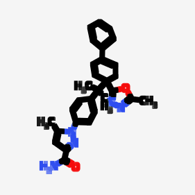 Cc1nnc(C2(C(C)(C)c3ccc(-n4nc(C(N)=O)cc4C)cc3)C=CC(c3ccccc3)=CC2)o1